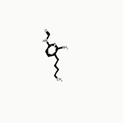 CCCCCc1ccc(NC=O)nc1N